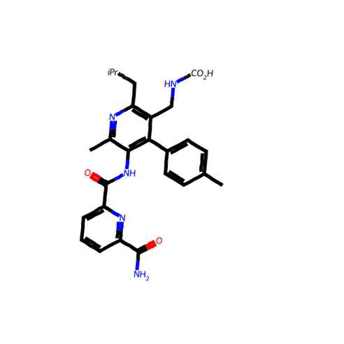 Cc1ccc(-c2c(CNC(=O)O)c(CC(C)C)nc(C)c2NC(=O)c2cccc(C(N)=O)n2)cc1